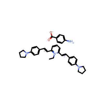 CC[n+]1c(/C=C/c2ccc(N3CCCC3)cc2)cccc1/C=C/c1ccc(N2CCCC2)cc1.Nc1ccc(C(=O)[O-])cc1